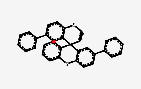 c1ccc(-c2ccc3c(c2)C2(c4ccccc4S3)c3ccccc3Sc3ccc(-c4ccccc4)cc32)cc1